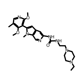 CCN1CCN(CCNC(=O)Nc2cc3cc(-c4c(OC)ncc(C)c4OC)n(C)c3cn2)CC1